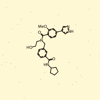 COc1cc(-c2cn[nH]c2)ccc1C(=O)N(CCO)Cc1cccc(C(=O)NC2CCCC2)c1